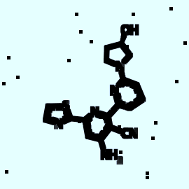 N#Cc1c(N)cc(-c2nccs2)nc1-c1cccc(N2CC[C@@H](O)C2)n1